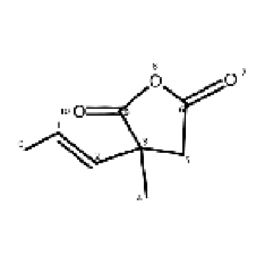 CC=CC1(C)CC(=O)OC1=O